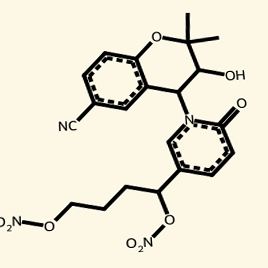 CC1(C)Oc2ccc(C#N)cc2C(n2cc(C(CCCO[N+](=O)[O-])O[N+](=O)[O-])ccc2=O)C1O